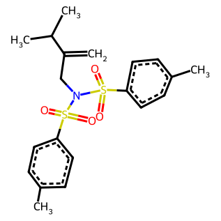 C=C(CN(S(=O)(=O)c1ccc(C)cc1)S(=O)(=O)c1ccc(C)cc1)C(C)C